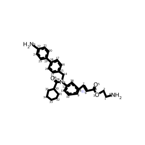 NCCOC(=O)/C=C/c1cccc(N(Cc2ccc(-c3ccc(N)cc3)cc2)C(=O)C2CCCCC2)c1